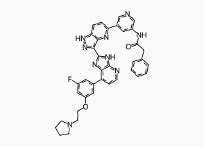 O=C(Cc1ccccc1)Nc1cncc(-c2ccc3[nH]nc(-c4nc5c(-c6cc(F)cc(OCCN7CCCC7)c6)ccnc5[nH]4)c3n2)c1